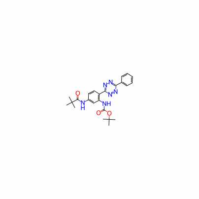 CC(C)(C)OC(=O)Nc1cc(NC(=O)C(C)(C)C)ccc1-c1nnc(-c2ccccc2)nn1